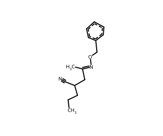 CCCC(C#N)C/C(C)=N/OCc1ccccc1